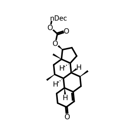 CCCCCCCCCCOC(=O)O[C@H]1CC[C@H]2[C@H]3[C@H]([C@@H](C)C[C@]12C)[C@H]1CCC(=O)C=C1C[C@@H]3C